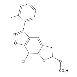 O=C(O)OC1Cc2cc3c(-c4ccccc4F)noc3c(Cl)c2O1